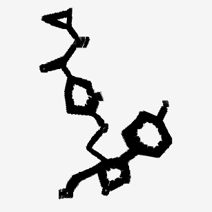 O=C(NC1CC1)c1ccc(OCc2c(-c3ccc(F)cc3)noc2CO)nc1